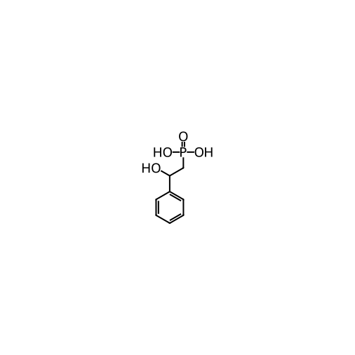 O=P(O)(O)CC(O)c1ccccc1